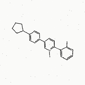 Cc1ccccc1-c1ccc(-c2ccc(C3CCCC3)cc2)c[n+]1C